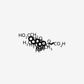 CC1(C)[C@@H](OC(=O)CCC(=O)O)CC[C@]2(C)[C@H]3C(=O)C=C4[C@@H]5C[C@@](C)(C(=O)O)CC[C@]5(C)CC[C@@]4(C)[C@]3(C)CC[C@@H]12.[Fe].[NaH].[NaH]